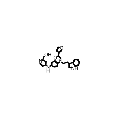 OCc1cc(Nc2ccc3c(c2)OC(c2ccoc2)CN3CCc2c[nH]c3ccccc23)ccn1